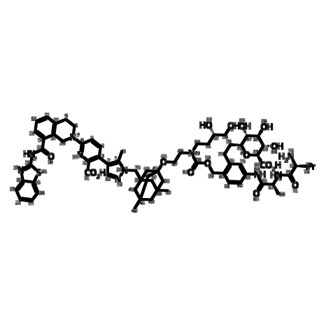 Cc1c(-c2ccc(N3CCc4cccc(C(=O)Nc5nc6ccccc6s5)c4C3)nc2C(=O)O)cnn1CC12CC3(C)CC(C)(C1)CC(OCCN(CC[C@H](O)CO)C(=O)OCc1ccc(NC(=O)[C@H](C)NC(=O)[C@@H](N)C(C)C)cc1CC[C@@H]1O[C@H](C(=O)O)[C@@H](O)[C@H](O)[C@H]1O)(C3)C2